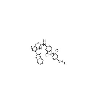 COc1cc(N)ccn1.Oc1cc(Nc2ccc3ncc(-c4cc5ccccc5s4)n3n2)ccn1